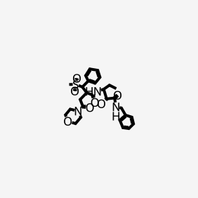 CCC(NC(=O)C(CC(=O)N1CCOCC1)C(c1ccccc1)S(C)(=O)=O)C(=O)C(=O)NCc1ccccc1